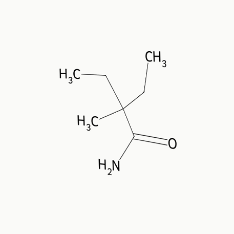 CCC(C)(CC)C(N)=O